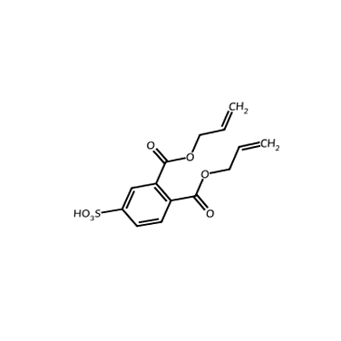 C=CCOC(=O)c1ccc(S(=O)(=O)O)cc1C(=O)OCC=C